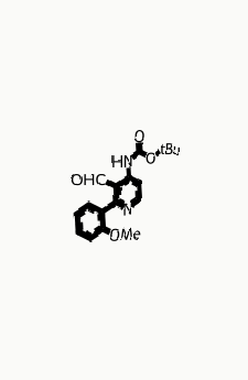 COc1ccccc1-c1nccc(NC(=O)OC(C)(C)C)c1C=O